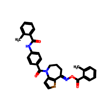 Cc1ccccc1C(=O)Nc1ccc(C(=O)N2CCCC(=NOC(=O)c3ccccc3C)c3sccc32)cc1